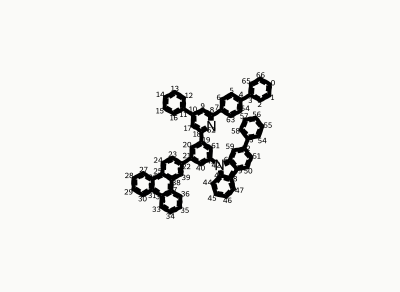 c1ccc(-c2ccc(-c3cc(-c4ccccc4)cc(-c4cc(-c5ccc6c7ccccc7c7ccccc7c6c5)cc(-n5c6ccccc6c6ccc(-c7ccccc7)cc65)c4)n3)cc2)cc1